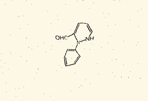 O=CC1=CC=CNN1c1ccccc1